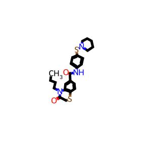 CCCCN1C(=O)CSc2ccc(C(=O)Nc3ccc(SN4CCCCC4)cc3)cc21